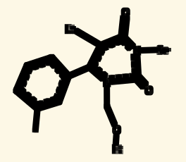 CCOCn1c(-c2cccc(C)c2)c(CC)c(=O)n([Se])c1=O